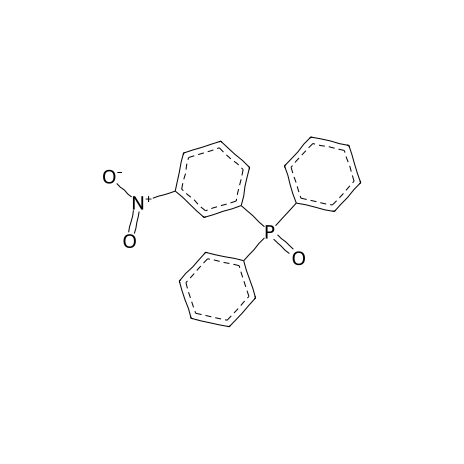 O=[N+]([O-])c1cccc(P(=O)(c2ccccc2)c2ccccc2)c1